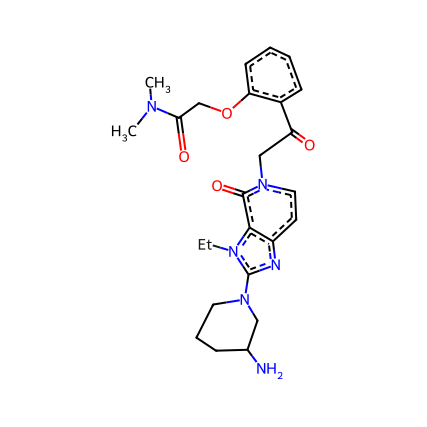 CCn1c(N2CCCC(N)C2)nc2ccn(CC(=O)c3ccccc3OCC(=O)N(C)C)c(=O)c21